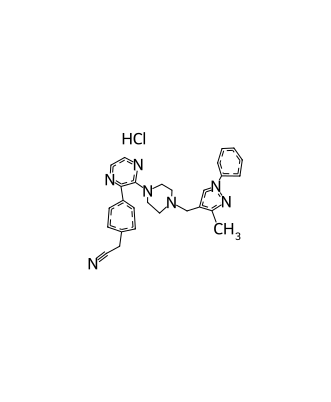 Cc1nn(-c2ccccc2)cc1CN1CCN(c2nccnc2-c2ccc(CC#N)cc2)CC1.Cl